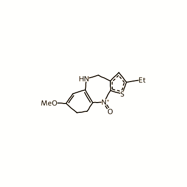 CCc1cc2c(s1)[N+](=O)C1=C(C=C(OC)CC1)NC2